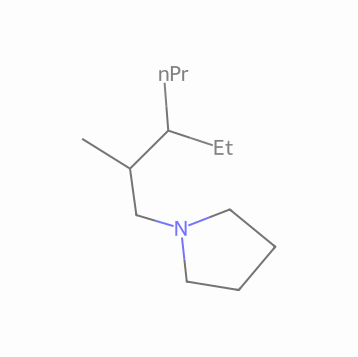 CCCC(CC)C(C)CN1CCCC1